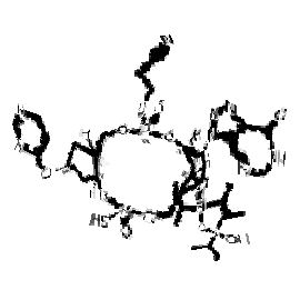 CC(C)[Si](O)(O[Si](O[C@@H]1C2CO[P@@](=O)(S)O[C@H]3C[C@H](Oc4ccncn4)C[C@@H]3CO[P@@](=S)(OCCC#N)O[C@H]1[C@H](n1nnc3c(=O)[nH]cnc31)C2)(C(C)C)C(C)C)C(C)C